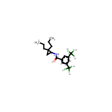 CCCC1(CCC)CC1NC(=O)c1cc(C(F)(F)F)cc(C(F)(F)F)c1